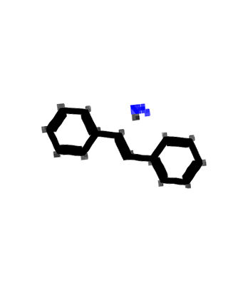 C(=Cc1ccccc1)c1ccccc1.N